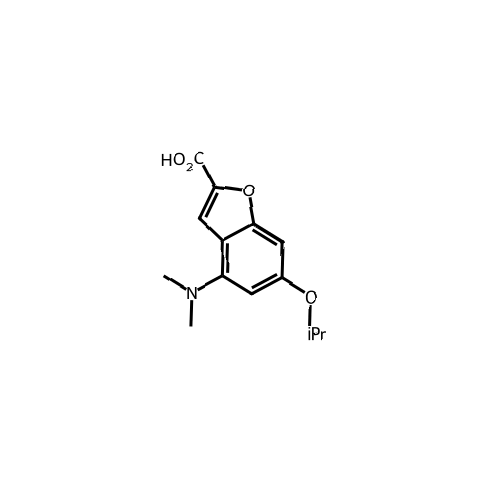 CC(C)Oc1cc(N(C)C)c2cc(C(=O)O)oc2c1